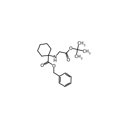 CC(C)(C)OC(=O)CNC1(C(=O)OCc2ccccc2)CCCCC1